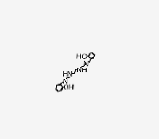 Oc1ccccc1C=NCCNCCNCCN=Cc1ccccc1O